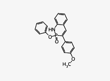 COc1ccc(C2=Cc3ccccc3NP2(=O)Oc2ccccc2)cc1